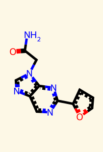 NC(=O)Cn1cnc2cnc(-c3ccco3)nc21